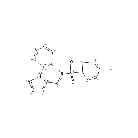 Cc1ccc(S(=O)(=O)N=Cc2cccn2-c2ccccc2)cc1